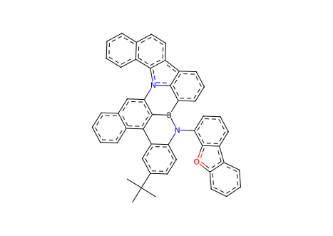 CC(C)(C)c1ccc2c(c1)-c1c3c(cc4ccccc14)-n1c4c(cccc4c4ccc5ccccc5c41)B3N2c1cccc2c1oc1ccccc12